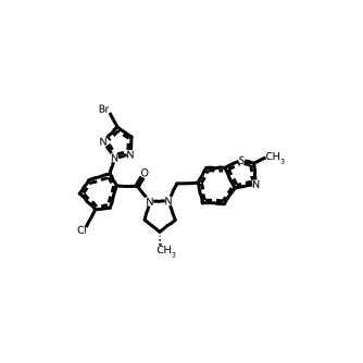 Cc1nc2ccc(CN3C[C@H](C)CN3C(=O)c3cc(Cl)ccc3-n3ncc(Br)n3)cc2s1